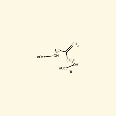 C=C(C)C(=O)O.CCCCCCCCO.CCCCCCCCO.[Ti]